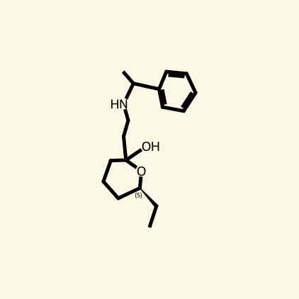 CC[C@H]1CCCC(O)(CCNC(C)c2ccccc2)O1